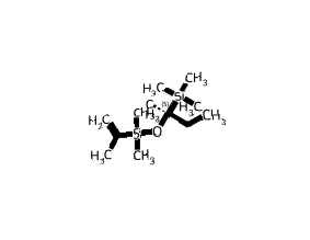 C=C(C)[Si](C)(C)O[C@](C)(CC)[Si](C)(C)C